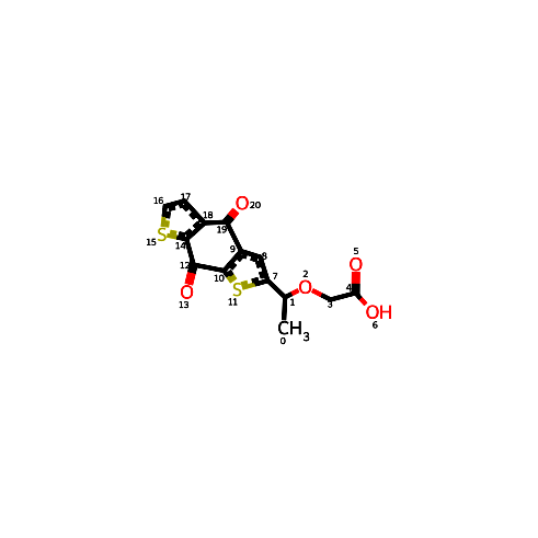 CC(OCC(=O)O)c1cc2c(s1)C(=O)c1sccc1C2=O